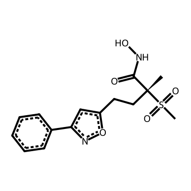 C[C@@](CCc1cc(-c2ccccc2)no1)(C(=O)NO)S(C)(=O)=O